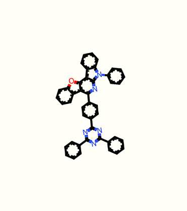 c1ccc(-c2nc(-c3ccccc3)nc(-c3ccc(-c4nc5c(c6ccccc6n5-c5ccccc5)c5oc6ccccc6c45)cc3)n2)cc1